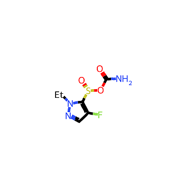 CCn1ncc(F)c1S(=O)OC(N)=O